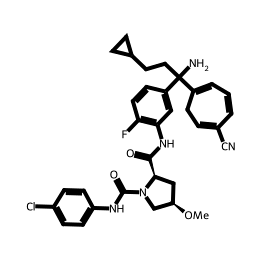 CO[C@@H]1C[C@H](C(=O)Nc2cc(C(N)(CCC3CC3)C3=CC=CC(C#N)=CC3)ccc2F)N(C(=O)Nc2ccc(Cl)cc2)C1